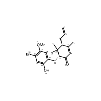 C=CC[C@H]1C(C)=CC(=O)[C@H](Cc2cc(OC)c(Br)cc2O)C1(C)C